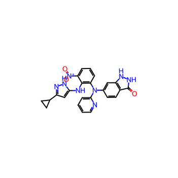 O=c1[nH][nH]c2cc(N(c3ccccn3)c3cccc([N+](=O)[O-])c3Nc3cc(C4CC4)n[nH]3)ccc12